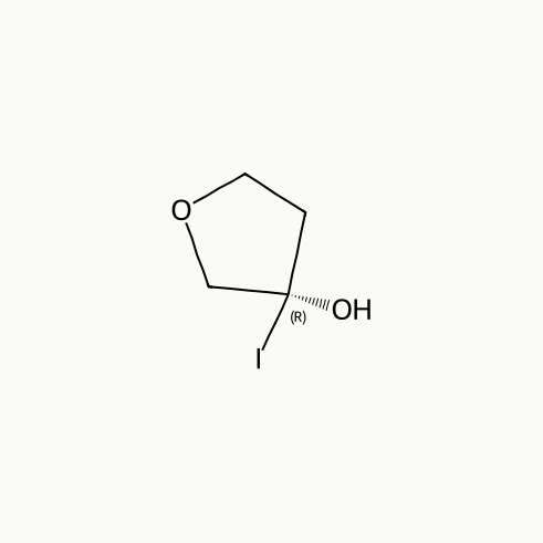 O[C@@]1(I)CCOC1